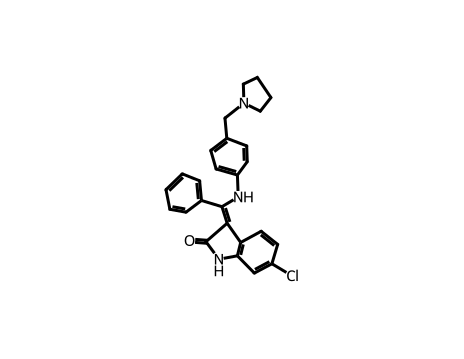 O=C1Nc2cc(Cl)ccc2C1=C(Nc1ccc(CN2CCCC2)cc1)c1ccccc1